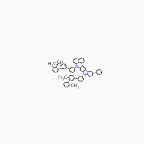 Cc1ccccc1-c1cc(-c2cccc(-n3c4ccc(-c5ccccc5)cc4c4cc5c(cc43)N(c3cccc(-c4ccc6c(c4)-c4ccccc4C6(C)C)c3)c3cccc4cccc-5c34)c2)ccc1C